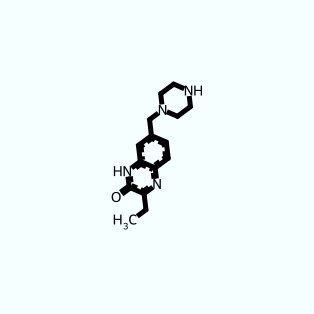 CCc1nc2ccc(CN3CCNCC3)cc2[nH]c1=O